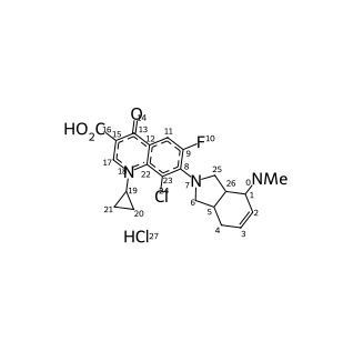 CNC1C=CCC2CN(c3c(F)cc4c(=O)c(C(=O)O)cn(C5CC5)c4c3Cl)CC21.Cl